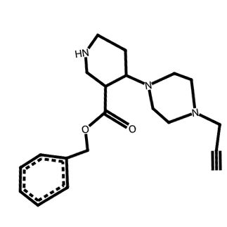 C#CCN1CCN(C2CCNCC2C(=O)OCc2ccccc2)CC1